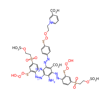 Nc1c(N=Nc2ccc(SOOCC[n+]3cccc(C(=O)O)c3)cc2)c(C(=O)O)c(N=Nc2ccc(S(=O)(=O)CCOS(=O)(=O)O)cc2SOOO)c(N)c1/N=N\c1ccc(S(=O)(=O)CCOS(=O)(=O)O)cc1SOOO